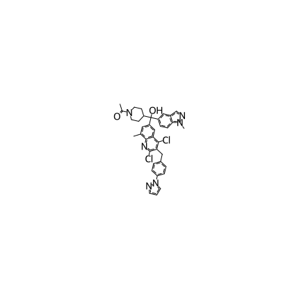 CC(=O)N1CCC(C(O)(c2ccc3c(cnn3C)c2)c2cc(C)c3nc(Cl)c(Cc4ccc(-n5cccn5)cc4)c(Cl)c3c2)CC1